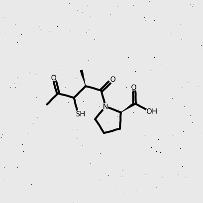 CC(=O)C(S)[C@@H](C)C(=O)N1CCC[C@@H]1C(=O)O